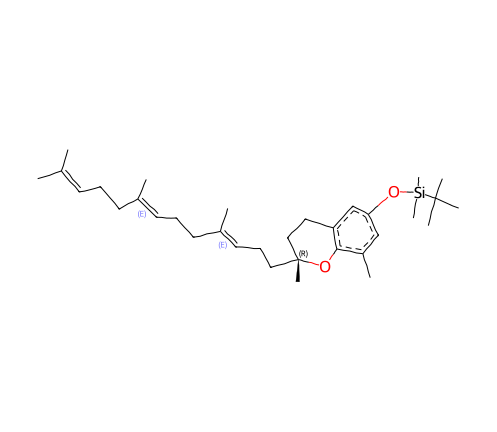 CC(C)=CCC/C(C)=C/CC/C(C)=C/CC[C@]1(C)CCc2cc(O[Si](C)(C)C(C)(C)C)cc(C)c2O1